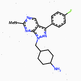 CNc1ncc2c(-c3ccc(F)cc3)nn(CC3CCC(N)CC3)c2n1